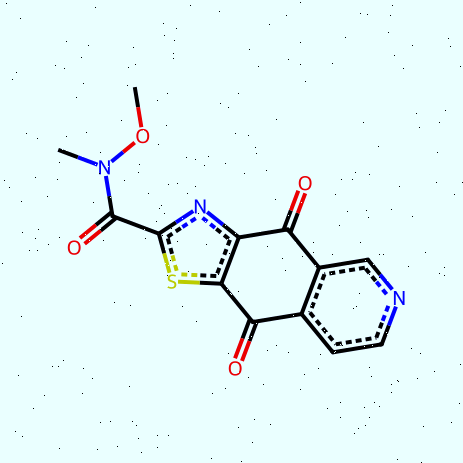 CON(C)C(=O)c1nc2c(s1)C(=O)c1ccncc1C2=O